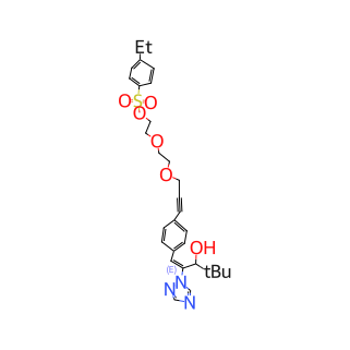 CCc1ccc(S(=O)(=O)OCCOCCOCC#Cc2ccc(/C=C(\C(O)C(C)(C)C)n3cncn3)cc2)cc1